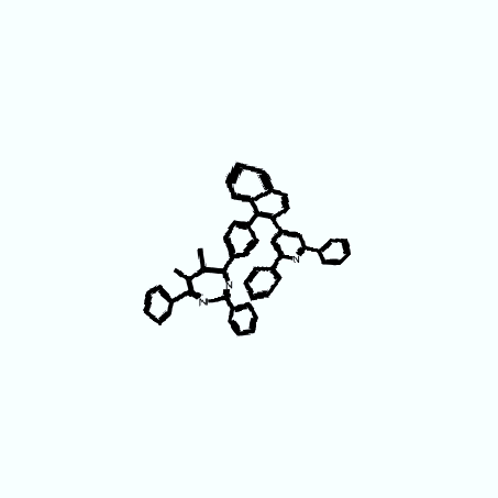 CC1C(c2ccccc2)=NC(c2ccccc2)=NC(c2ccc(-c3c(-c4cc(-c5ccccc5)nc(-c5ccccc5)c4)ccc4ccccc34)cc2)C1C